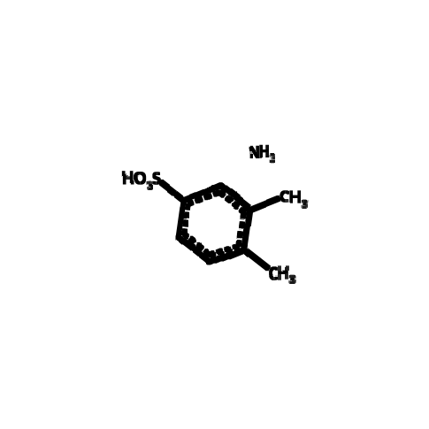 Cc1ccc(S(=O)(=O)O)cc1C.N